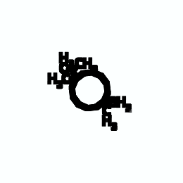 BC1(C)CCCCCC(C)(C(C)C)CCCCC1